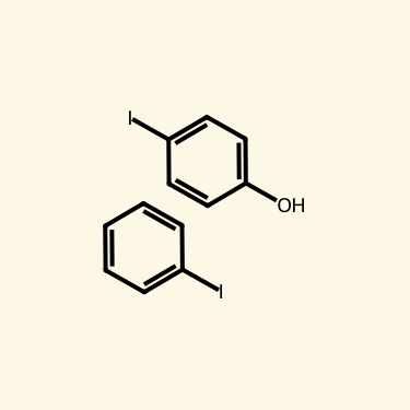 Ic1ccccc1.Oc1ccc(I)cc1